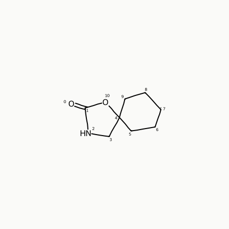 O=C1NCC2(CC[CH]CC2)O1